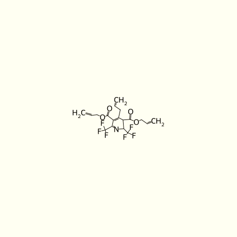 C=CCOC(=O)C1=C(CC=C)C(C(=O)OCC=C)C(C(F)(F)F)N=C1C(F)(F)F